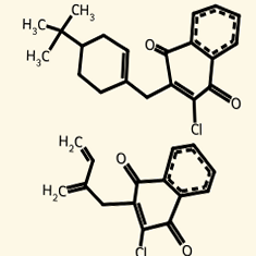 C=CC(=C)CC1=C(Cl)C(=O)c2ccccc2C1=O.CC(C)(C)C1CC=C(CC2=C(Cl)C(=O)c3ccccc3C2=O)CC1